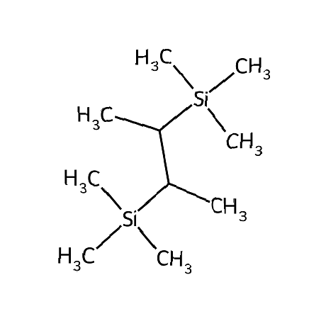 CC(C(C)[Si](C)(C)C)[Si](C)(C)C